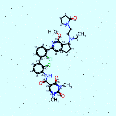 CCN(CCN1CCCC1=O)C1CCc2cc(-c3cccc(-c4cccc(NC(=O)c5cn(C)c(=O)n(C)c5=O)c4Cl)c3Cl)nc(OC)c21